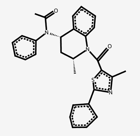 CC(=O)N(c1ccccc1)[C@H]1C[C@@H](C)N(C(=O)c2sc(-c3ccccc3)nc2C)c2ccccc21